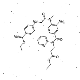 CCOC(=N)c1ccc(NCC(=O)N(C)c2ccc(C(=O)N(CCC(=O)OCC)c3ccccn3)cc2N)cc1